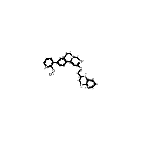 CCOc1ncccc1-c1ccc2c(c1)CCN1CN=C(OCC3COc4ncccc4O3)C=C21